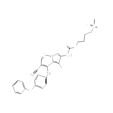 Cc1c(NC(=O)OCCCCS(C)(=O)=O)cn2ncc(C#N)c(Nc3ccc(Oc4ccccc4)cc3)c12